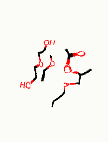 CCCOCC(C)OC(C)=O.CCOC.OCCOCCO